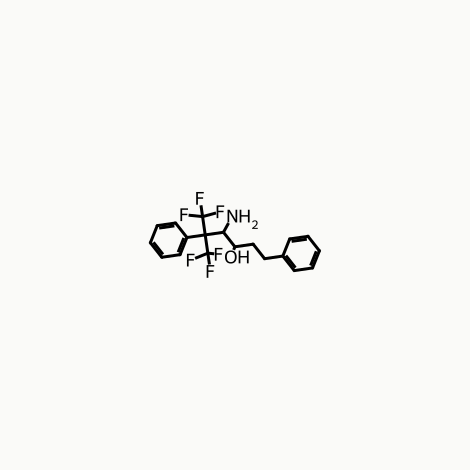 NC(C(O)CCc1ccccc1)C(c1ccccc1)(C(F)(F)F)C(F)(F)F